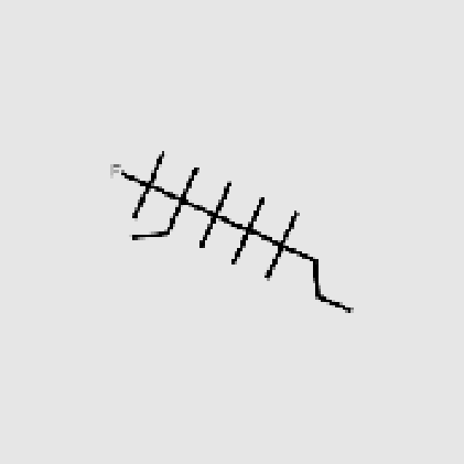 CCCC(C)(C)C(C)(C)C(C)(C)C(C)(CC)C(C)(C)F